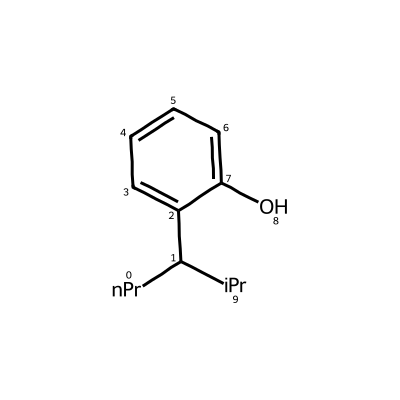 CCCC(c1ccccc1O)C(C)C